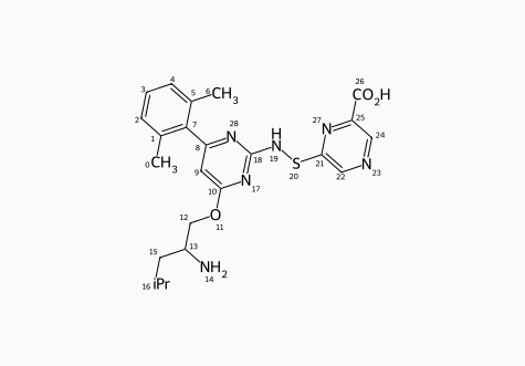 Cc1cccc(C)c1-c1cc(OCC(N)CC(C)C)nc(NSc2cncc(C(=O)O)n2)n1